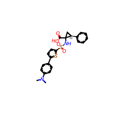 CN(C)c1ccc(-c2ccc(S(=O)(=O)NC3(C(=O)O)C[C@H]3c3ccccc3)s2)cc1